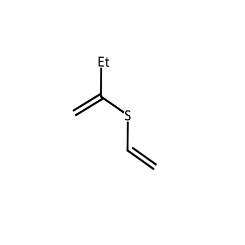 C=CSC(=C)CC